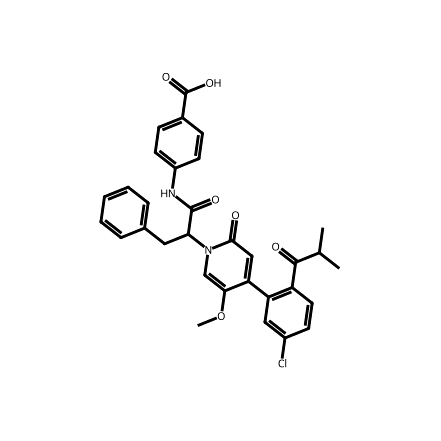 COc1cn(C(Cc2ccccc2)C(=O)Nc2ccc(C(=O)O)cc2)c(=O)cc1-c1cc(Cl)ccc1C(=O)C(C)C